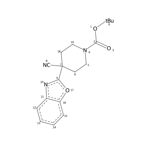 CC(C)(C)OC(=O)N1CCC(C#N)(c2nc3ccccc3o2)CC1